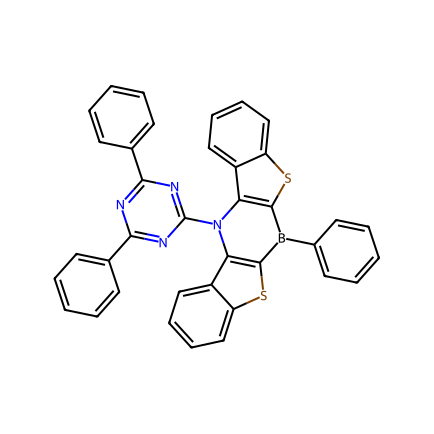 c1ccc(B2c3sc4ccccc4c3N(c3nc(-c4ccccc4)nc(-c4ccccc4)n3)c3c2sc2ccccc32)cc1